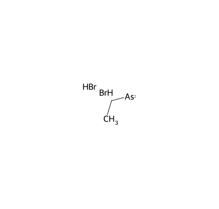 Br.Br.CC[As]